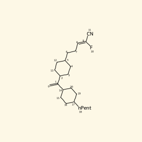 C=C(C1CCC(CCC=C(F)C#N)CC1)C1CCC(CCCCC)CC1